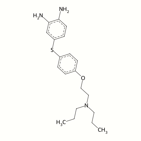 CCCN(CCC)CCOc1ccc(Sc2ccc(N)c(N)c2)cc1